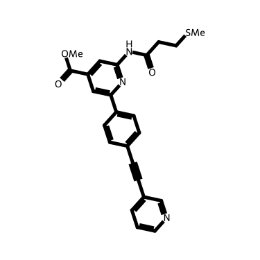 COC(=O)c1cc(NC(=O)CCSC)nc(-c2ccc(C#Cc3cccnc3)cc2)c1